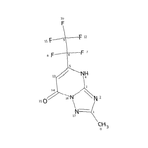 Cc1nc2[nH]c(C(F)(F)C(F)(F)F)cc(=O)n2n1